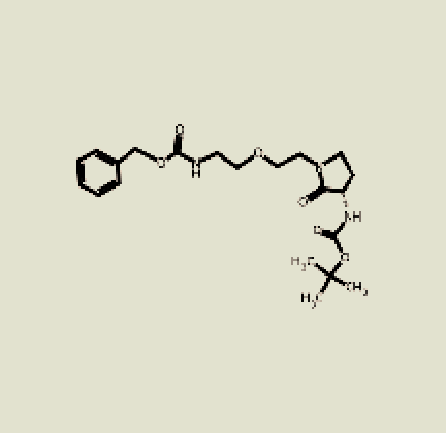 CC(C)(C)OC(=O)N[C@H]1CCN(CCOCCNC(=O)OCc2ccccc2)C1=O